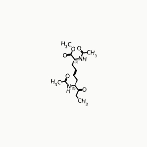 CCC(=O)[C@H](CC=CC[C@H](NC(C)=O)C(=O)OC)NC(C)=O